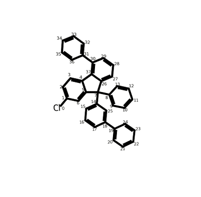 Clc1ccc2c(c1)C(c1ccccc1)(c1cccc(-c3ccccc3)c1)c1cccc(-c3ccccc3)c1-2